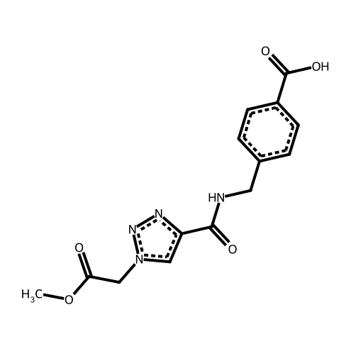 COC(=O)Cn1cc(C(=O)NCc2ccc(C(=O)O)cc2)nn1